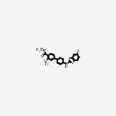 COC(=O)c1ccc(-c2ccc(Nc3nc4ccc(F)cc4s3)cc2)cc1OC